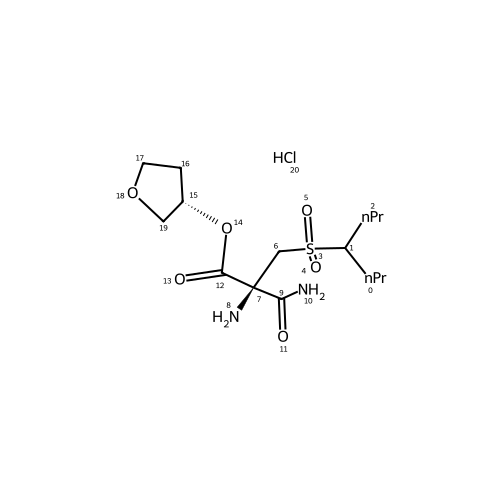 CCCC(CCC)S(=O)(=O)C[C@](N)(C(N)=O)C(=O)O[C@H]1CCOC1.Cl